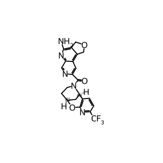 Nc1nc2cnc(C(=O)N3CC[C@H]4C[C@@H]3c3ccc(C(F)(F)F)nc3O4)cc2c2c1COC2